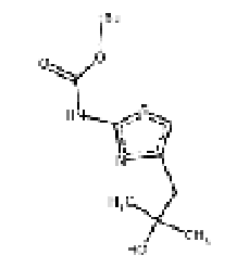 CC(C)(O)Cc1csc(NC(=O)OC(C)(C)C)n1